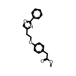 COC(=O)Cc1ccc(OCCc2coc(-c3ccccc3)n2)cc1